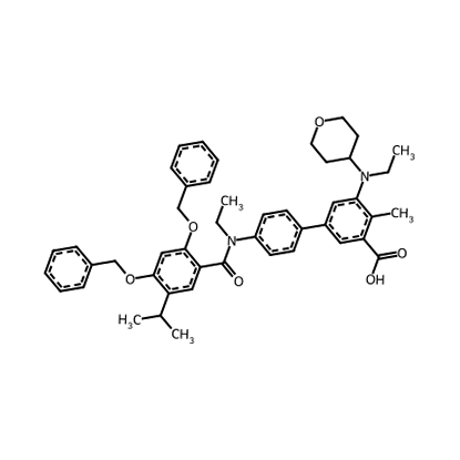 CCN(C(=O)c1cc(C(C)C)c(OCc2ccccc2)cc1OCc1ccccc1)c1ccc(-c2cc(C(=O)O)c(C)c(N(CC)C3CCOCC3)c2)cc1